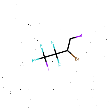 FC(F)(I)C(F)(F)C(Br)CI